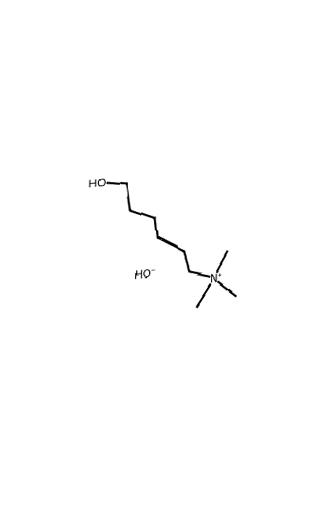 C[N+](C)(C)CCCCCCO.[OH-]